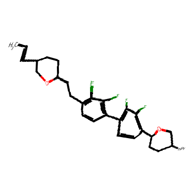 C/C=C/C1CCC(CCc2ccc(-c3ccc(C4CCC(CCC)CO4)c(F)c3F)c(F)c2F)OC1